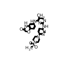 Cc1cnc(Nc2ccc(N3CCN(S(C)(=O)=O)CC3)nn2)nc1Nc1ccc2c(c1)NC(=O)CO2